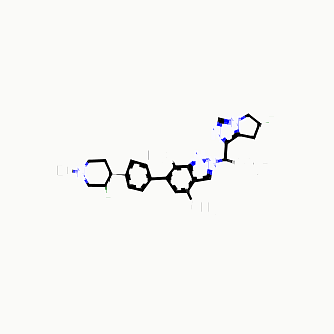 CCOC(=O)C(c1ncn2c1C[C@@H](F)C2)n1cc2c(C)cc(-c3ccc([C@@H]4CCN(CC)C[C@H]4F)cc3)c(C)c2n1